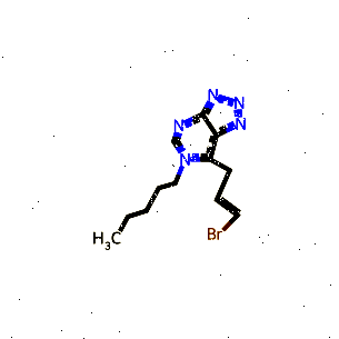 CCCCCn1cnc2nnnc-2c1CC=CBr